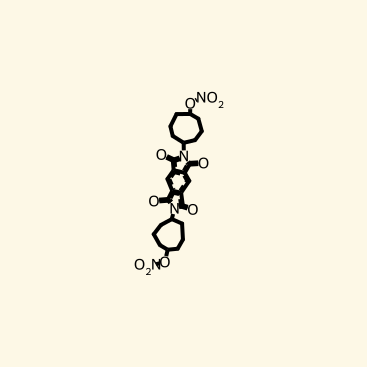 O=c1c2cc3c(=O)n(C4CCCC(O[N+](=O)[O-])CCC4)c(=O)c3cc2c(=O)n1C1CCCC(O[N+](=O)[O-])CCC1